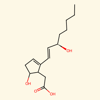 CCCCC[C@@H](O)C=CC1=CCC(O)C1CC(=O)O